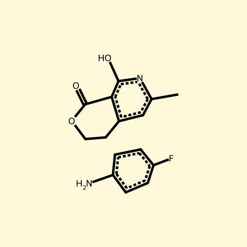 Cc1cc2c(c(O)n1)C(=O)OCC2.Nc1ccc(F)cc1